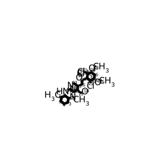 CNc1cccc(C)c1Nc1cc(C=O)c(/C=C(\OC)c2c(Cl)c(OC)cc(OC)c2Cl)cn1